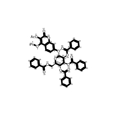 CC(=O)Oc1c(OC(C)C)c2ccc(O[C@H]3O[C@H](COC(=O)c4ccccc4)[C@@H](OC(=O)c4ccccc4)[C@H](OC(=O)c4ccccc4)[C@@H]3OC(=O)c3ccccc3)cc2oc1=O